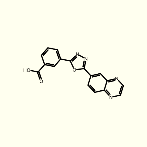 O=C(O)c1cccc(-c2nnc(-c3ccc4nccnc4c3)o2)c1